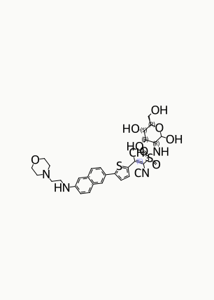 C/C(=C(/C#N)S(=O)(=O)N[C@H]1C(O)O[C@H](CO)[C@@H](O)[C@@H]1O)c1ccc(-c2ccc3cc(NCCN4CCOCC4)ccc3c2)s1